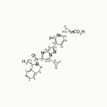 C[C@@H]1c2ccccc2CCN1C(=O)c1cc(C2CC2)n2nc(-c3ccc([C@@H]4C[C@H]4C(=O)O)nc3F)cc2n1